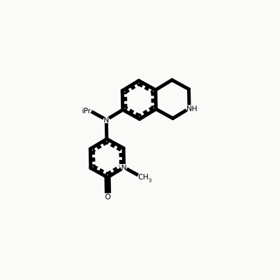 CC(C)N(c1ccc2c(c1)CNCC2)c1ccc(=O)n(C)c1